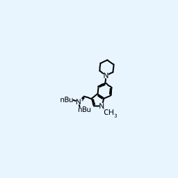 CCCC[N+](=Cc1cn(C)c2ccc(N3CCCCC3)cc12)CCCC